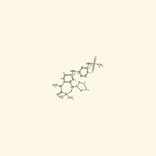 CN1C(=O)C(C)(C)CN(C2CCCC2)c2nc(Nc3cccc(NS(C)(=O)=O)c3)ncc21